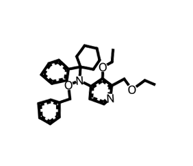 CCOCc1nccc(N(OCc2ccccc2)C2(c3ccccc3)CCCCC2)c1OCC